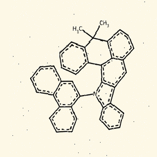 CC1(C)c2ccccc2-c2c3c1cccc3cc1c3ccccc3n(-c3cc4ccccc4c4ccccc34)c21